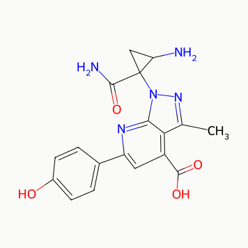 Cc1nn(C2(C(N)=O)CC2N)c2nc(-c3ccc(O)cc3)cc(C(=O)O)c12